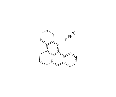 C1=Cc2cc3ccccc3c3cc4ccccc4c(c23)C1.[B].[N].[N]